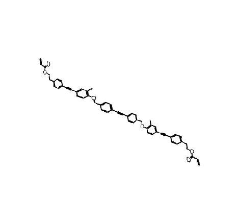 C=CC(=O)OCCc1ccc(C#Cc2ccc(OCc3ccc(C#Cc4ccc(COc5ccc(C#Cc6ccc(CCOC(=O)C=C)cc6)cc5C)cc4)cc3)c(C)c2)cc1